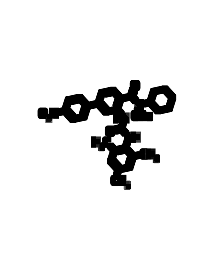 CC(=O)ON(C(=O)c1ccc(-c2ccc([N+](=O)[O-])cc2)cc1NC(=O)Nc1c(C)cc(C)cc1C)C1CCCCC1